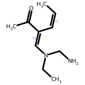 C/C=C\C(=C/N(CC)CN)C(C)=O